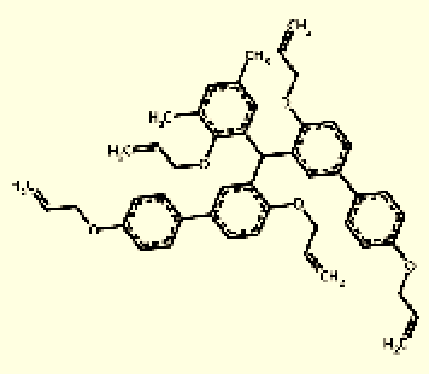 C=CCOc1ccc(-c2ccc(OCC=C)c(C(c3cc(-c4ccc(OCC=C)cc4)ccc3OCC=C)c3cc(C)cc(C)c3OCC=C)c2)cc1